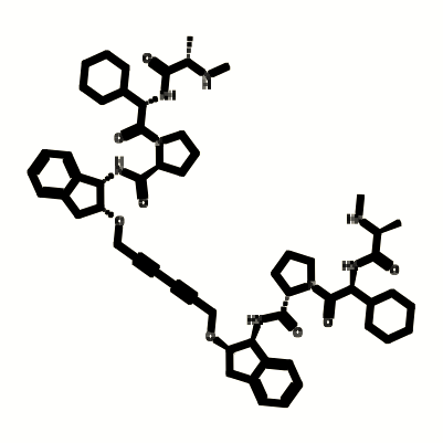 CN[C@@H](C)C(=O)N[C@H](C(=O)N1CCC[C@H]1C(=O)N[C@H]1c2ccccc2C[C@H]1OCC#CC#CCO[C@@H]1Cc2ccccc2[C@@H]1NC(=O)[C@@H]1CCCN1C(=O)[C@@H](NC(=O)[C@H](C)NC)C1CCCCC1)C1CCCCC1